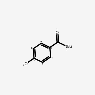 CC(C)(C)C(=O)c1ccc([O])cc1